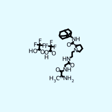 C[C@H](N)C(=O)NCC(=O)NCCN1CCC[C@@H]1C(=O)NC1C2CC3CC(C2)CC1C3.O=C(O)C(F)(F)F.O=C(O)C(F)(F)F